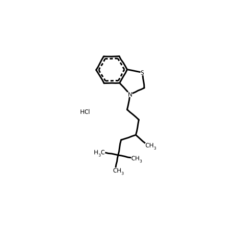 CC(CCN1CSc2ccccc21)CC(C)(C)C.Cl